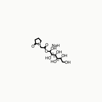 O=C(CN1CCCC1=O)OC(O)[C@@H](O)[C@@H](O)[C@H](O)[C@H](O)CO.[NaH]